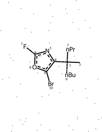 CCCCC(C)(CCC)c1nc(F)oc1Br